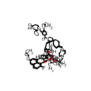 COCOc1cc(-c2ncc3c(C4CC5CCN(N4)C5C(=O)OC(C)(C)C)nc(OC[C@H](C)CN4CCN(CC5CCC6(CC5)CCN(C(=O)c5ccc(OC)c(N7CCC(=O)NC7=O)c5)CC6)CC4)nc3c2F)c2c(C#C[Si](C(C)C)(C(C)C)C(C)C)c(F)ccc2c1